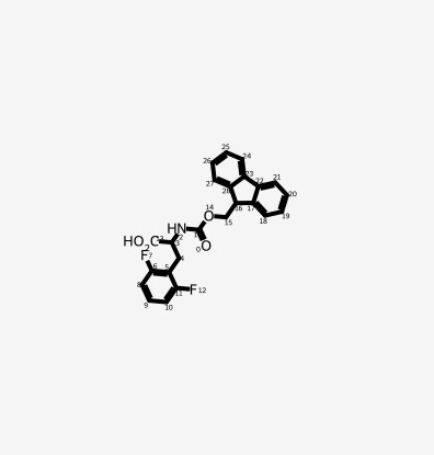 O=C(NC(Cc1c(F)cccc1F)C(=O)O)OCC1c2ccccc2-c2ccccc21